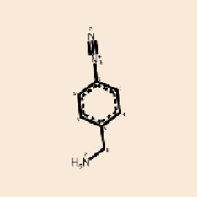 N#[N+]c1ccc(CN)cc1